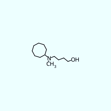 CN(CCCCO)C1CCCCCCC1